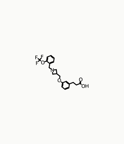 O=C(O)CCc1cccc(OCC2CN(Cc3ccccc3OC(F)(F)F)C2)c1